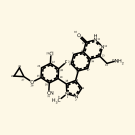 Cn1ncc(-c2ccc3c(=O)[nH]nc(CN)c3c2)c1-c1c(F)c(Cl)cc(OC2CC2)c1C#N